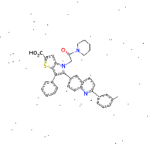 Cc1cccc(-c2ccc3cc(-c4c(-c5ccccc5)c5sc(C(=O)O)cc5n4CC(=O)N4CCCCC4)ccc3n2)c1